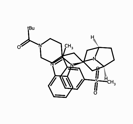 Cc1nc2ccccc2n1[C@H]1C[C@H]2CC[C@@H](C1)N2CCC1(c2cccc(S(C)(=O)=O)c2)CCN(C(=O)C(C)(C)C)CC1